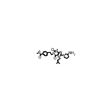 CC(C)=CCn1c(N2CCCC(N)C2)nc2c1c(=O)n(CCc1ccc(C(=O)N(C)C)cc1)c(=O)n2C